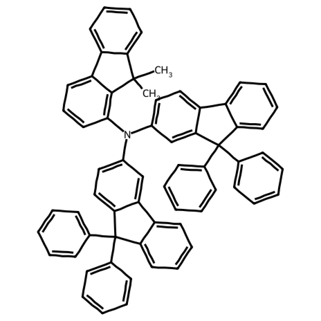 CC1(C)c2ccccc2-c2cccc(N(c3ccc4c(c3)-c3ccccc3C4(c3ccccc3)c3ccccc3)c3ccc4c(c3)C(c3ccccc3)(c3ccccc3)c3ccccc3-4)c21